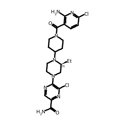 CC[C@H]1CN(c2ncc(C(N)=O)nc2Cl)CCN1C1CCN(C(=O)c2ccc(Cl)nc2N)CC1